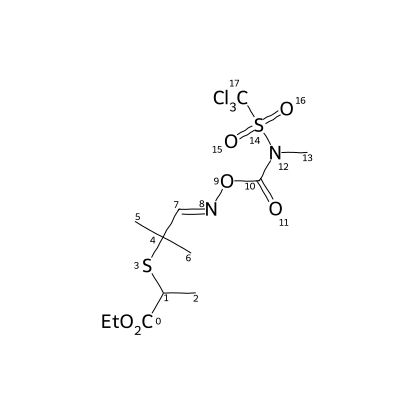 CCOC(=O)C(C)SC(C)(C)C=NOC(=O)N(C)S(=O)(=O)C(Cl)(Cl)Cl